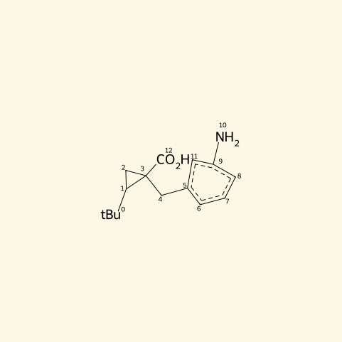 CC(C)(C)C1CC1(Cc1cccc(N)c1)C(=O)O